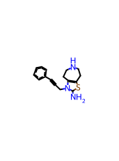 NC1SC2=C(CCNCC2)N1CC#Cc1ccccc1